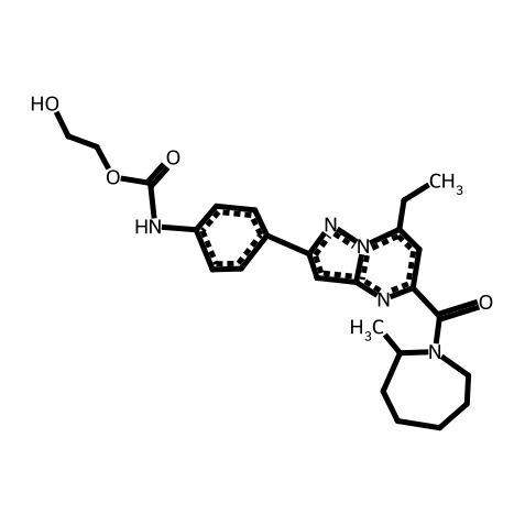 CCc1cc(C(=O)N2CCCCCC2C)nc2cc(-c3ccc(NC(=O)OCCO)cc3)nn12